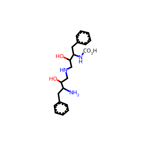 NC(Cc1ccccc1)C(O)CNCC(O)C(Cc1ccccc1)NC(=O)O